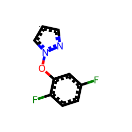 Fc1ccc(F)c(On2c[c]cn2)c1